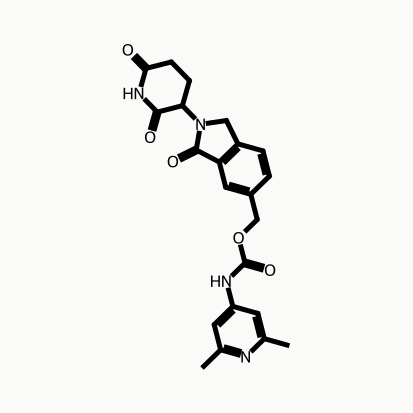 Cc1cc(NC(=O)OCc2ccc3c(c2)C(=O)N(C2CCC(=O)NC2=O)C3)cc(C)n1